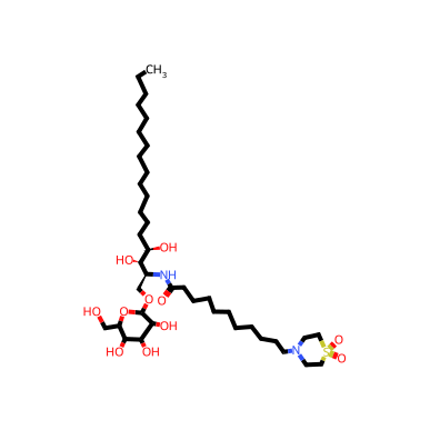 CCCCCCCCCCCCCC[C@@H](O)[C@@H](O)[C@H](COC1OC(CO)C(O)C(O)C1O)NC(=O)CCCCCCCCCCN1CCS(=O)(=O)CC1